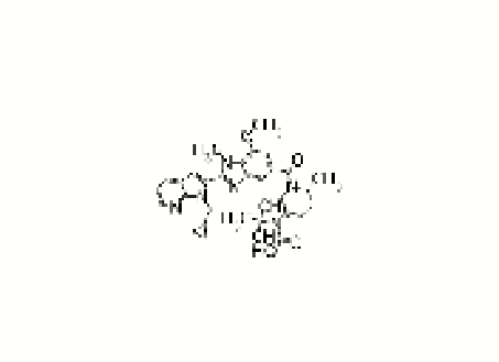 COc1cc(C(=O)N2C[C@@H](N(C(=O)O)C(C)(C)C)CC[C@H]2C)cc2nc(-c3cc4cccnc4n3CC3CC3)n(C)c12